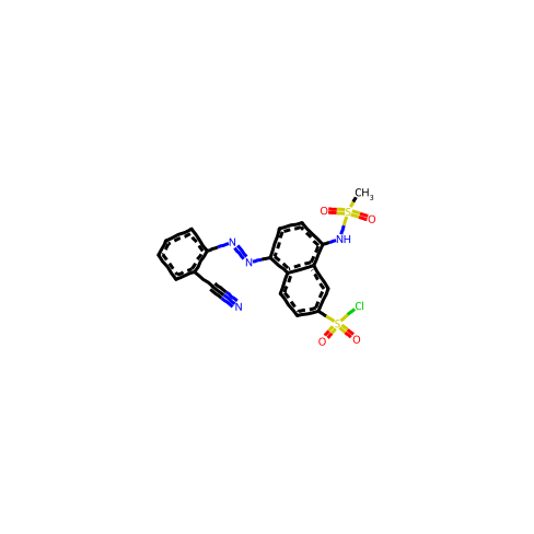 CS(=O)(=O)Nc1ccc(N=Nc2ccccc2C#N)c2ccc(S(=O)(=O)Cl)cc12